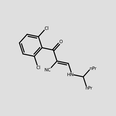 CCCC(CCC)N/C=C(\C#N)C(=O)c1c(Cl)cccc1Cl